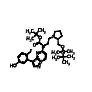 CC(C)(C)OC(=O)N(CCN1CCC[C@H]1CO[Si](C)(C)C(C)(C)C)c1ccn2ncc(-c3cc(O)ccc3F)c2n1